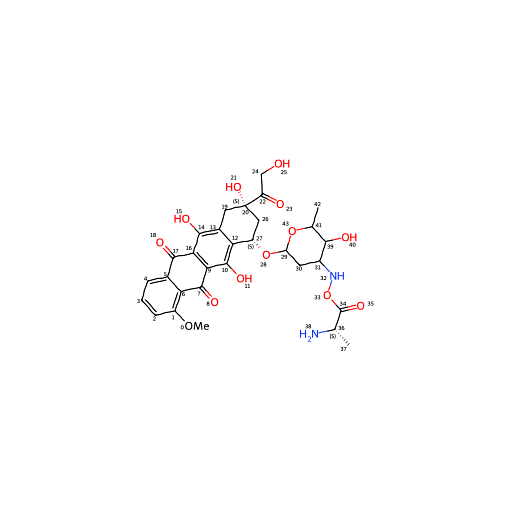 COc1cccc2c1C(=O)c1c(O)c3c(c(O)c1C2=O)C[C@@](O)(C(=O)CO)C[C@@H]3OC1CC(NOC(=O)[C@H](C)N)C(O)C(C)O1